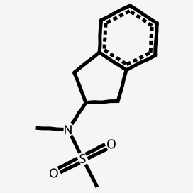 CN(C1Cc2ccccc2C1)S(C)(=O)=O